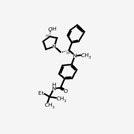 CCC(C)(C)NC(=O)c1ccc(N(C)[C@H](CN2CC[C@H](O)C2)c2ccccc2)cc1